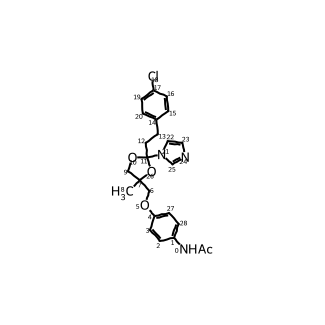 CC(=O)Nc1ccc(OCC2(C)COC(CCc3ccc(Cl)cc3)(n3ccnc3)O2)cc1